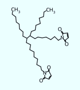 CCCCCCCCC(CCCCCCCCCN1C(=O)C=CC1=O)C(CCCCCCCC)CCCCCCCN1C(=O)C=CC1=O